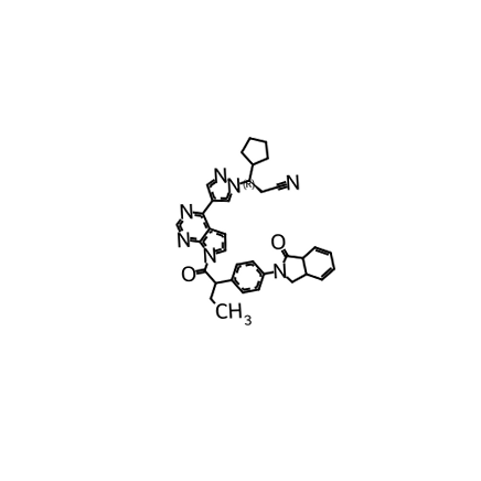 CCC(C(=O)n1ccc2c(-c3cnn([C@H](CC#N)C4CCCC4)c3)ncnc21)c1ccc(N2CC3C=CC=CC3C2=O)cc1